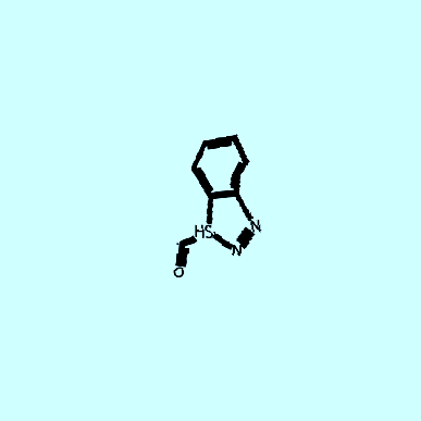 O=[C][SH]1N=Nc2ccccc21